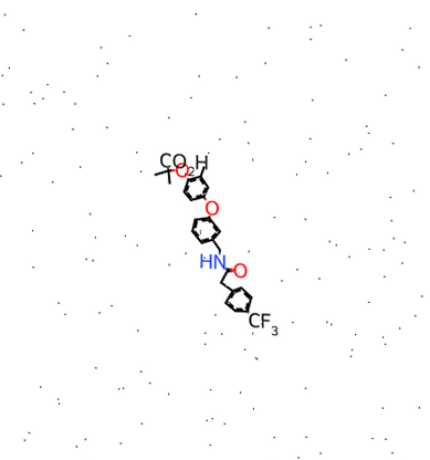 Cc1cc(Oc2cccc(CNC(=O)Cc3ccc(C(F)(F)F)cc3)c2)ccc1OC(C)(C)C(=O)O